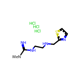 CNC(=N)NCCNCc1nccs1.Cl.Cl.Cl